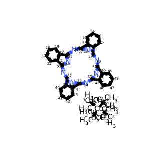 C[C](C)(C)[Cu]([C](C)(C)C)([C](C)(C)C)[C](C)(C)C.c1ccc2c(c1)-c1nc-2nc2[nH]c(nc3nc(nc4[nH]c(n1)c1ccccc41)-c1ccccc1-3)c1ccccc21